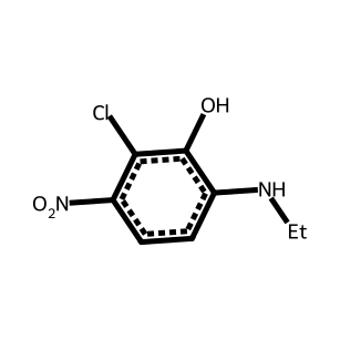 CCNc1ccc([N+](=O)[O-])c(Cl)c1O